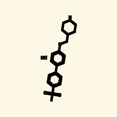 CS(=O)(=O)c1ccc(-c2ccc(OCC3CCNCC3)cc2)cc1.Cl